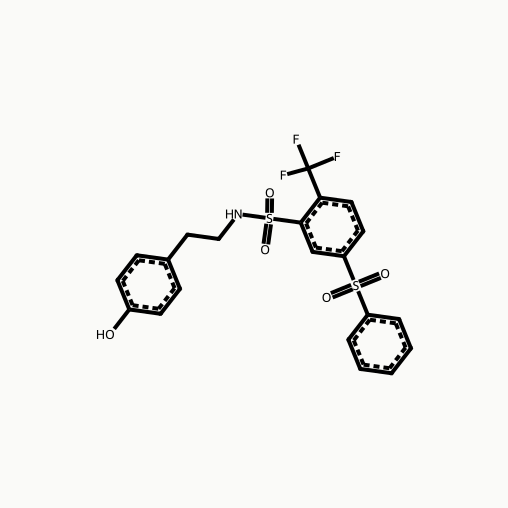 O=S(=O)(NCCc1ccc(O)cc1)c1cc(S(=O)(=O)c2ccccc2)ccc1C(F)(F)F